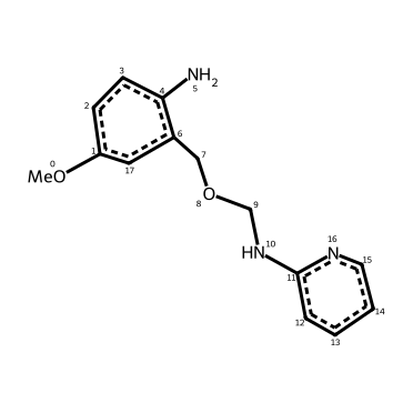 COc1ccc(N)c(COCNc2ccccn2)c1